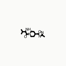 Cc1noc(C2CCN(C(=O)C(N)C(C)C)CC2)n1